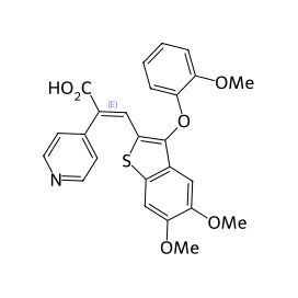 COc1cc2sc(/C=C(/C(=O)O)c3ccncc3)c(Oc3ccccc3OC)c2cc1OC